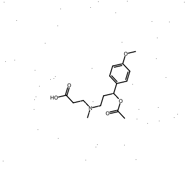 COc1ccc(C(CCN(C)CCC(=O)O)OC(C)=O)cc1